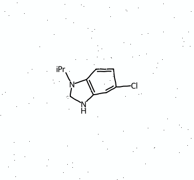 CC(C)N1[CH]Nc2cc(Cl)ccc21